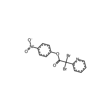 O=C(Oc1ccc([N+](=O)[O-])cc1)C(Br)(Br)c1ccccn1